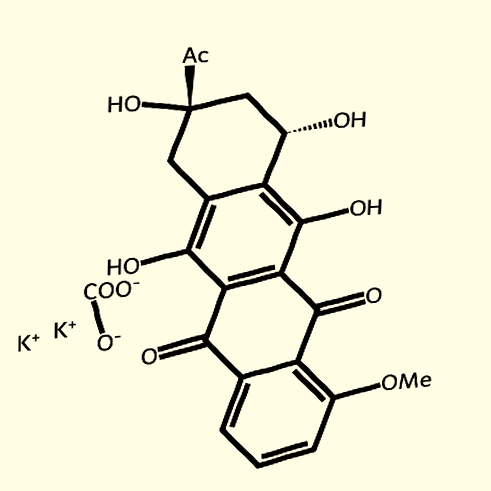 COc1cccc2c1C(=O)c1c(O)c3c(c(O)c1C2=O)C[C@@](O)(C(C)=O)C[C@@H]3O.O=C([O-])[O-].[K+].[K+]